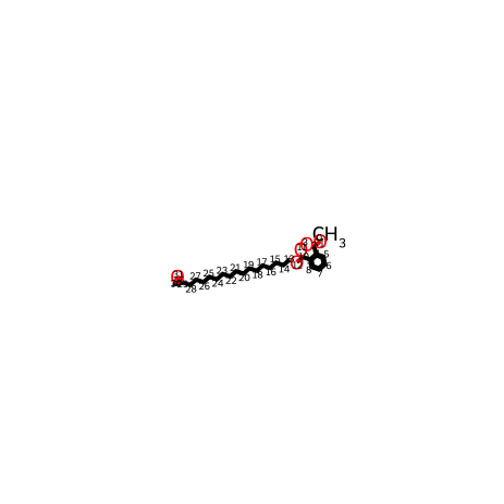 COC(=O)c1ccccc1C(=O)OCCCCCCCCCCCCCCCCC1CO1